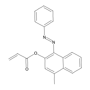 C=CC(=O)Oc1cc(C)c2ccccc2c1N=Nc1ccccc1